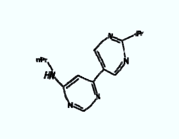 CCCNc1cc(-c2cnc(C(C)C)nc2)ncn1